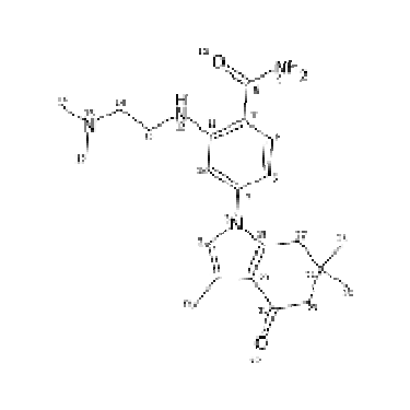 Cc1cn(-c2ccc(C(N)=O)c(NCCN(C)C)c2)c2c1C(=O)CC(C)(C)C2